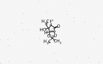 CCC1(O)C(F)C(=O)C2OC(C)(C)O[C@@H]21